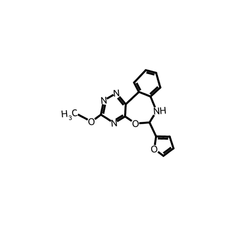 COc1nnc2c(n1)OC(c1ccco1)Nc1ccccc1-2